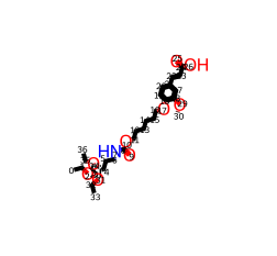 CCO[Si](CCCNC(=O)OCCCCCCOc1ccc(/C=C/C(=O)O)cc1OC)(OCC)OCC